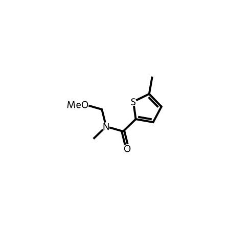 COCN(C)C(=O)c1ccc(C)s1